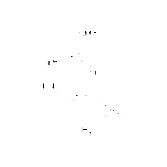 CS/C(=C/C(=C\N)C1(C)CC1)C(C)C